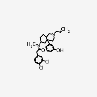 C=CCN1CCC2(c3cccc(O)c3)CC(N(C)C(=O)Cc3ccc(Cl)c(Cl)c3)CCC2C1